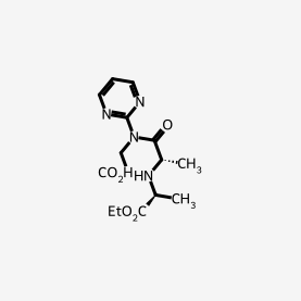 CCOC(=O)[C@H](C)N[C@@H](C)C(=O)N(CC(=O)O)c1ncccn1